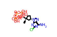 C#C[C@]1(COP(=O)(O)OP(=O)(O)OP(=O)(O)O)C[C@@H](n2cnc3c(N)nc(Cl)nc32)C[C@@H]1O